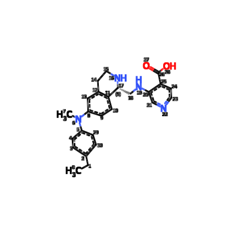 CCc1ccc(N(C)c2ccc3c(c2)CCN[C@@H]3CNc2cnccc2C(=O)O)cc1